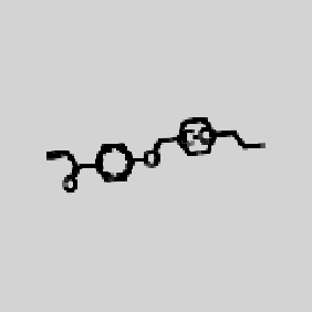 C=CC(=O)c1ccc(OCC23CCC(CCC)(CC2)CC3)cc1